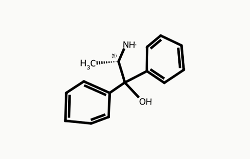 C[C@H]([NH])C(O)(c1ccccc1)c1ccccc1